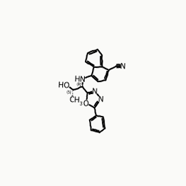 C[C@H](O)[C@@H](Nc1ccc(C#N)c2ccccc12)c1nnc(-c2ccccc2)o1